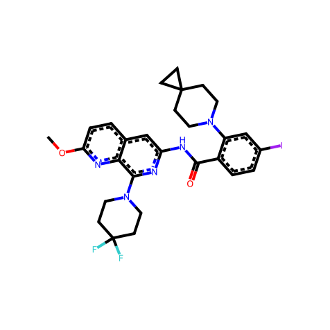 COc1ccc2cc(NC(=O)c3ccc(I)cc3N3CCC4(CC3)CC4)nc(N3CCC(F)(F)CC3)c2n1